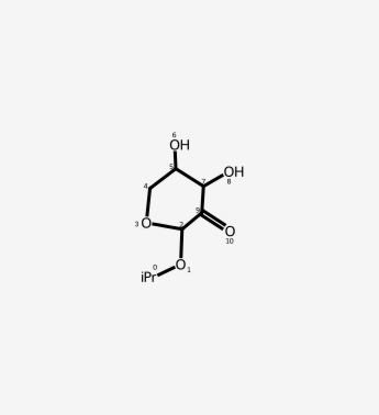 CC(C)OC1OCC(O)C(O)C1=O